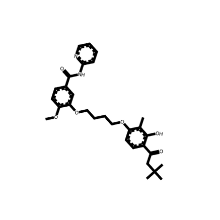 COc1ccc(C(=O)Nc2ccccn2)cc1OCCCCOc1ccc(C(=O)CC(C)(C)C)c(O)c1C